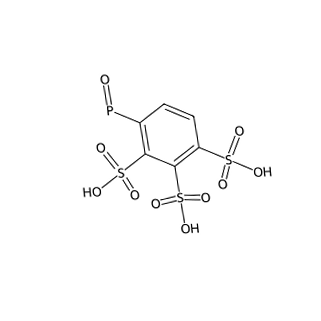 O=Pc1ccc(S(=O)(=O)O)c(S(=O)(=O)O)c1S(=O)(=O)O